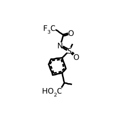 CC(C(=O)O)c1cccc(S(C)(=O)=NC(=O)C(F)(F)F)c1